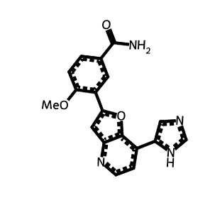 COc1ccc(C(N)=O)cc1-c1cc2nccc(-c3cnc[nH]3)c2o1